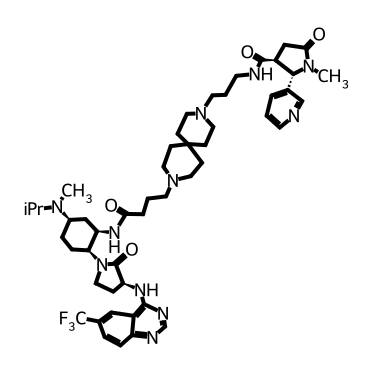 CC(C)N(C)[C@@H]1CC[C@H](N2CC[C@H](Nc3ncnc4ccc(C(F)(F)F)cc34)C2=O)[C@H](NC(=O)CCCN2CCC3(CCN(CCCNC(=O)[C@H]4CC(=O)N(C)[C@@H]4c4cccnc4)CC3)CC2)C1